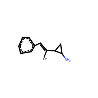 CC(C)/C(=C\c1ccccc1)C1CC1N